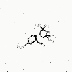 CC1(C)CC(c2cnc(N)nc2N)CC(C)(C)N1